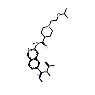 C=C(C)N(C)/C(=C\C)c1ccc2cnc(NC(=O)C3CCN(CCOC(C)C)CC3)cc2c1